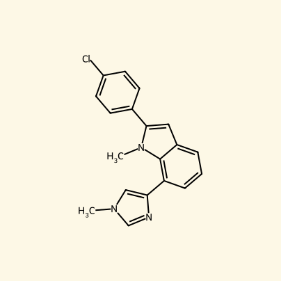 Cn1cnc(-c2cccc3cc(-c4ccc(Cl)cc4)n(C)c23)c1